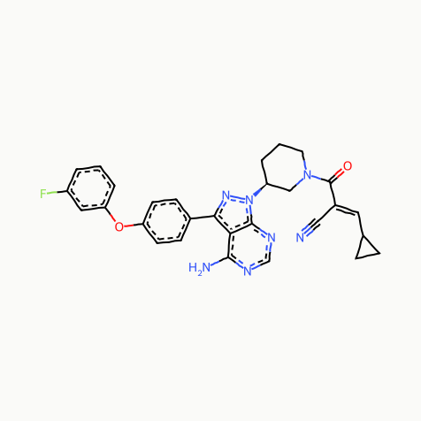 N#CC(=CC1CC1)C(=O)N1CCC[C@H](n2nc(-c3ccc(Oc4cccc(F)c4)cc3)c3c(N)ncnc32)C1